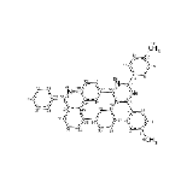 Cc1ccc(-c2nc(-c3ccc(C)cc3)nc(-c3ccc4nc(-c5ccccc5)c5cccc(-c6ccccc6)c5c4c3)n2)cc1